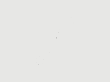 C(#COCC1CCN(Cc2ccccc2)CC1)Cc1ccccc1